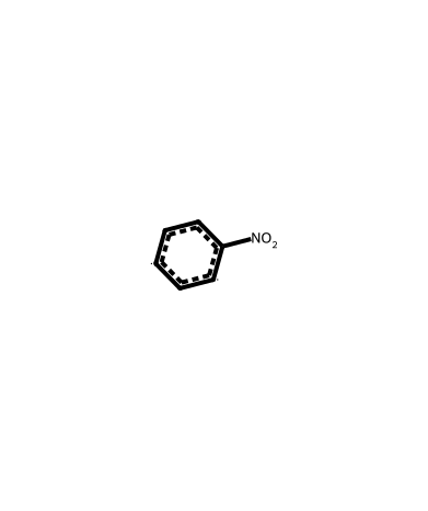 O=[N+]([O-])c1[c]c[c]cc1